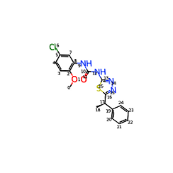 COc1ccc(Cl)cc1NC(=O)Nc1nnc([C@H](C)c2ccccc2)s1